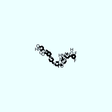 C[C@H]1CN(CC2CCN(c3ccc4c(c3)C(=O)N(C3CCC(=O)NC3=O)C4)CC2)C[C@H](C)N1C(=O)N1CCN2c3cc(-c4cc(F)cc(F)c4O)nnc3NC[C@H]2C1